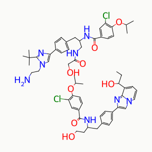 CC(C)Oc1ccc(C(=O)NC(CNC(=O)CO)Cc2ccc(-c3cn(CCN)c(C(C)(C)C)n3)cc2)cc1Cl.CCC(O)c1cccn2cc(-c3ccc(CC(CCO)NC(=O)c4ccc(OC(C)C)c(Cl)c4)cc3)nc12